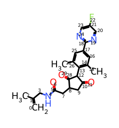 C=C(C)CNC(=O)CC1CC(=O)C(c2c(C)cc(-c3ncc(F)cn3)cc2C)C1=O